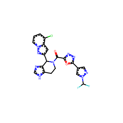 O=C(c1nnc(-c2cnn(C(F)F)c2)o1)N1CCc2[nH]cnc2C1c1cc2c(Cl)cccn2n1